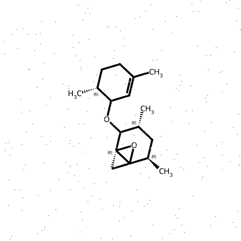 CC1=CC(OC2[C@H](C)C[C@@H](C)C34C[C@@]23O4)[C@H](C)CC1